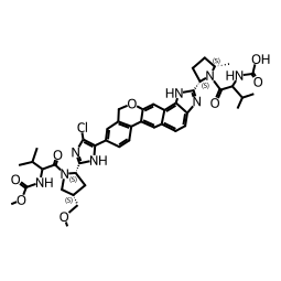 COC[C@H]1C[C@@H](c2nc(Cl)c(-c3ccc4c(c3)COc3cc5c(ccc6nc([C@@H]7CC[C@H](C)N7C(=O)C(NC(=O)O)C(C)C)[nH]c65)cc3-4)[nH]2)N(C(=O)C(NC(=O)OC)C(C)C)C1